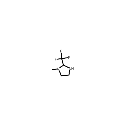 CN1[CH]CNC1C(F)(F)F